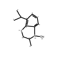 CC(C)c1cccc2c1SCC(C)N2O